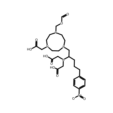 O=COCN1CCN(CC(=O)O)CCN(CC(CCCc2ccc([N+](=O)[O-])cc2)N(CC(=O)O)CC(=O)O)CC1